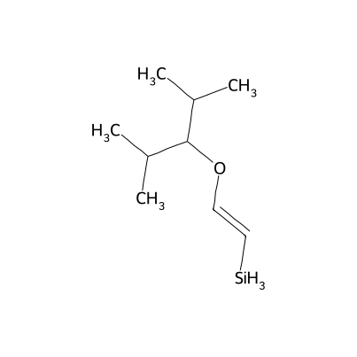 CC(C)C(OC=C[SiH3])C(C)C